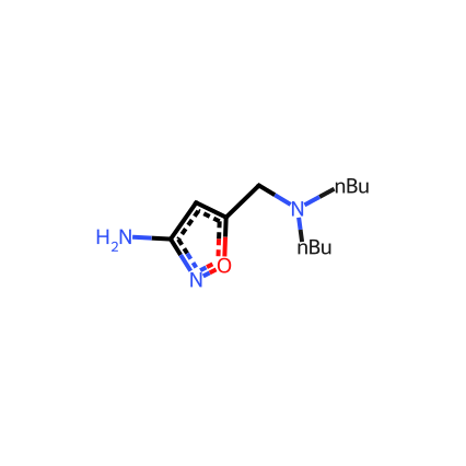 CCCCN(CCCC)Cc1cc(N)no1